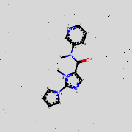 CN(C(=O)c1cnc(-n2cccc2)n1C)c1cccnc1